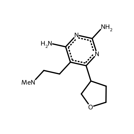 CNCCc1c(N)nc(N)nc1C1CCOC1